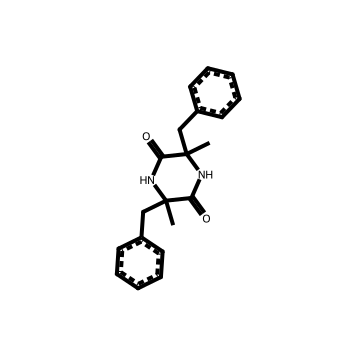 CC1(Cc2ccccc2)NC(=O)C(C)(Cc2ccccc2)NC1=O